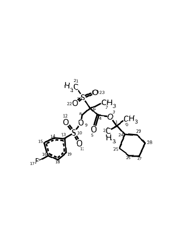 CC(C)(OC(=O)C(C)(COS(=O)(=O)c1ccc(F)cc1)S(C)(=O)=O)C1CCCCC1